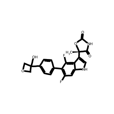 C[C@@]1(c2c[nH]c3cc(F)c(-c4ccc(C5(O)COC5)cc4)c(F)c23)OC(=O)NC1=O